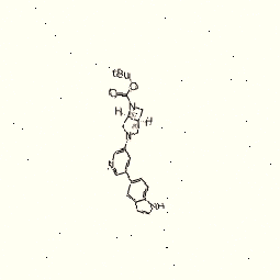 CC(C)(C)OC(=O)N1C[C@H]2CN(c3cncc(-c4ccc5[nH]ccc5c4)c3)C[C@H]21